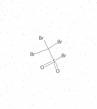 O=S(=O)(Br)C(Br)(Br)Br